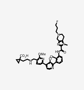 COc1nc(-c2ccnc(-c3cccc(NC(=O)c4nc5c(n4C)CCN(CCCF)C5)c3Cl)c2Cl)ccc1CNCCC1(C(=O)O)CC1